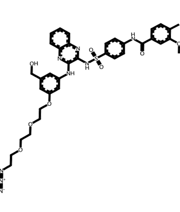 COc1cc(C(=O)Nc2ccc(S(=O)(=O)Nc3nc4ccccc4nc3Nc3cc(CO)cc(OCCOCCOCCN=[N+]=[N-])c3)cc2)ccc1C